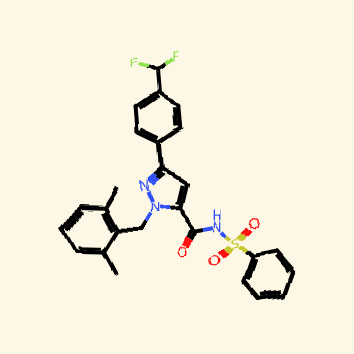 Cc1cccc(C)c1Cn1nc(-c2ccc(C(F)F)cc2)cc1C(=O)NS(=O)(=O)c1ccccc1